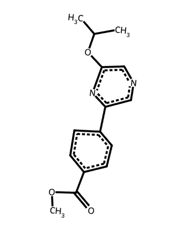 COC(=O)c1ccc(-c2cncc(OC(C)C)n2)cc1